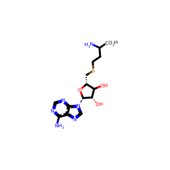 Nc1ncnc2c1ncn2[C@@H]1O[C@H](CSCCC(N)C(=O)O)C(O)[C@@H]1O